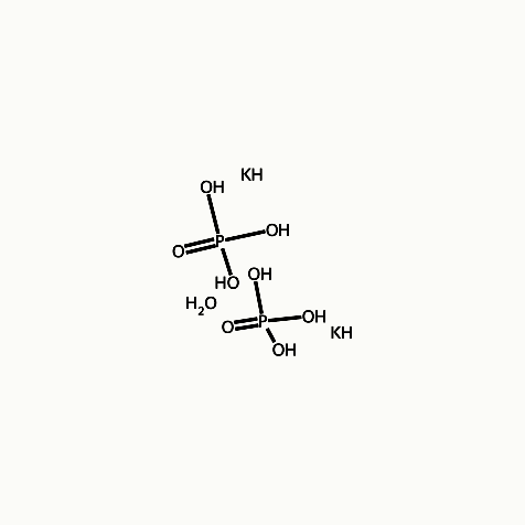 O.O=P(O)(O)O.O=P(O)(O)O.[KH].[KH]